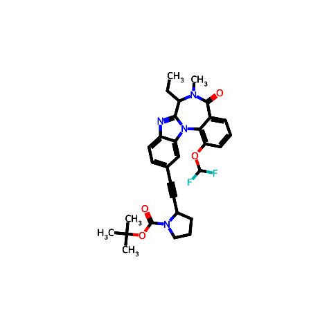 CCC1c2nc3ccc(C#CC4CCCN4C(=O)OC(C)(C)C)cc3n2-c2c(OC(F)F)cccc2C(=O)N1C